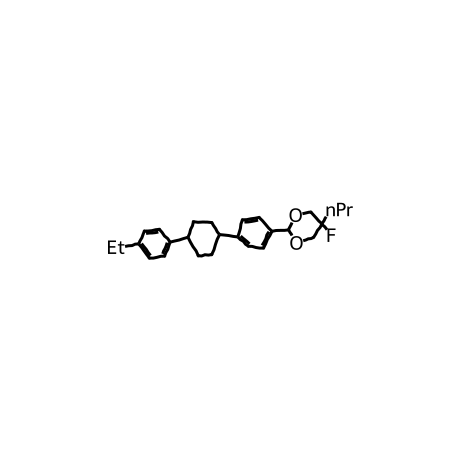 CCCC1(F)COC(c2ccc(C3CCC(c4ccc(CC)cc4)CC3)cc2)OC1